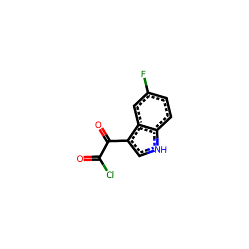 O=C(Cl)C(=O)c1c[nH]c2ccc(F)cc12